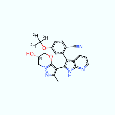 [2H]C([2H])([2H])Oc1ccc(C#N)c(-c2c(-c3c(C)nn4c3OC[C@@H](O)C4)[nH]c3ncccc23)c1